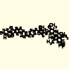 COc1cc2nc(C)nc(N[C@H](C)c3cc(N)cc(C(F)(F)F)c3)c2cc1OCC1(CN(C)C(=O)CN2CCC(CN3CCN(c4cc5c(cc4F)C(=O)N(C4CCC(=O)NC4=O)C5=O)CC3)CC2)CC1